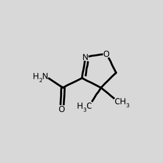 CC1(C)CON=C1C(N)=O